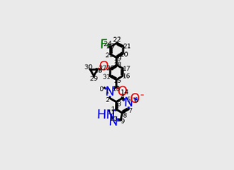 CN(Cc1c[n+]([O-])cc2cn[nH]c12)C(=O)c1ccc(-c2cccc(F)c2)c(OC2CC2)c1